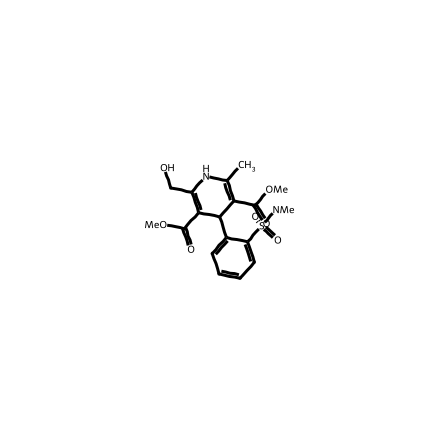 CNS(=O)(=O)c1ccccc1C1C(C(=O)OC)=C(C)NC(CO)=C1C(=O)OC